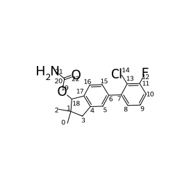 CC1(C)Cc2cc(-c3cccc(F)c3Cl)ccc2C1OC(N)=O